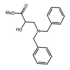 COC(=O)C(O)CN(Cc1ccccc1)Cc1ccccc1